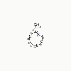 C=CCC1/C=C/CCCCCCCCCCC1